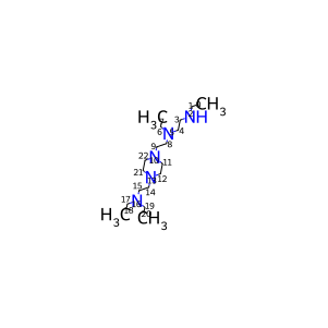 CCNCCN(CC)CCN1CCN(CCN(CC)CC)CC1